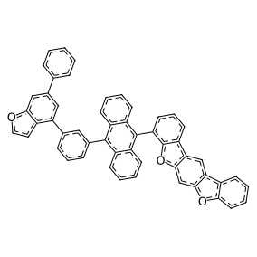 c1ccc(-c2cc(-c3cccc(-c4c5ccccc5c(-c5cccc6c5oc5cc7oc8ccccc8c7cc56)c5ccccc45)c3)c3ccoc3c2)cc1